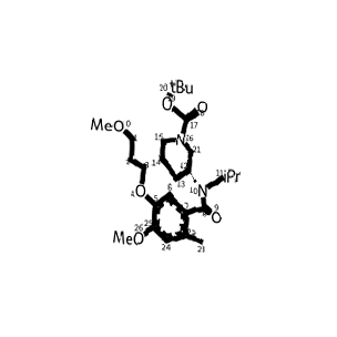 COCCCOc1cc(C(=O)N(C(C)C)[C@@H]2CCCN(C(=O)OC(C)(C)C)C2)c(C)cc1OC